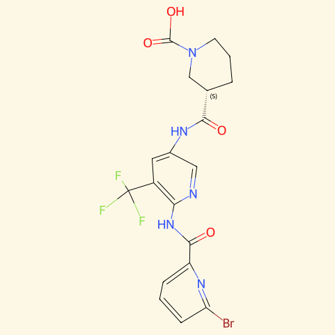 O=C(Nc1ncc(NC(=O)[C@H]2CCCN(C(=O)O)C2)cc1C(F)(F)F)c1cccc(Br)n1